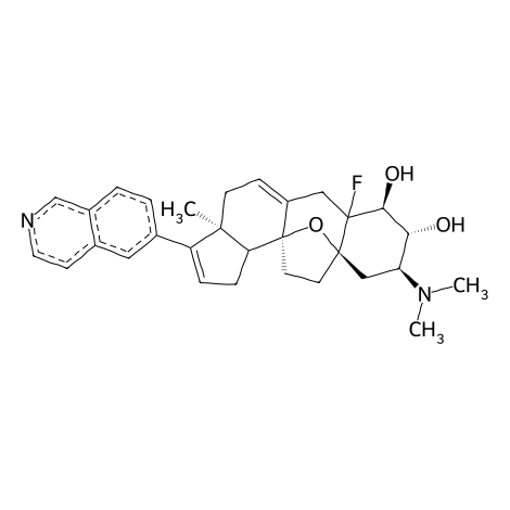 CN(C)[C@H]1C[C@@]23CC[C@@]4(O2)C(=CC[C@]2(C)C(c5ccc6cnccc6c5)=CCC24)CC3(F)[C@@H](O)[C@@H]1O